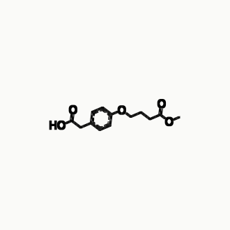 COC(=O)CCCOc1ccc(CC(=O)O)cc1